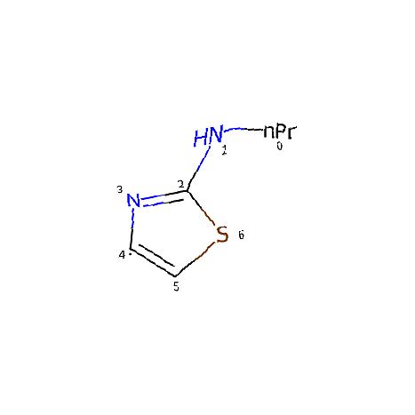 CCCNc1n[c]cs1